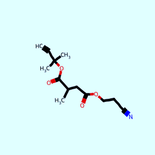 C#CC(C)(C)OC(=O)C(C)CC(=O)OCCC#N